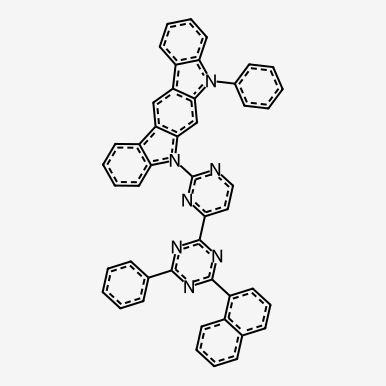 c1ccc(-c2nc(-c3ccnc(-n4c5ccccc5c5cc6c7ccccc7n(-c7ccccc7)c6cc54)n3)nc(-c3cccc4ccccc34)n2)cc1